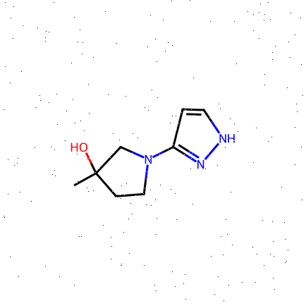 CC1(O)CCN(c2cc[nH]n2)C1